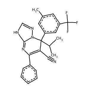 Cc1cc(C(F)(F)F)cc(C2(C(C)C)C(C#N)=C(c3ccccc3)N=C3NC=NN32)c1